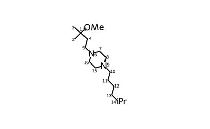 COC(C)(C)CCN1CCN(CCCCC(C)C)CC1